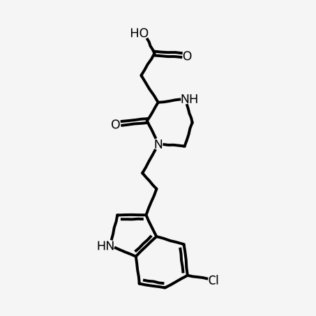 O=C(O)CC1NCCN(CCc2c[nH]c3ccc(Cl)cc23)C1=O